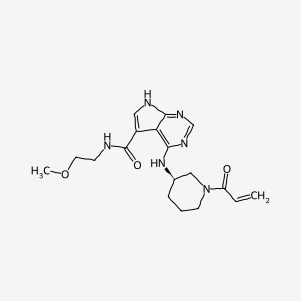 C=CC(=O)N1CCC[C@@H](Nc2ncnc3[nH]cc(C(=O)NCCOC)c23)C1